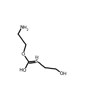 NCCOC(O)=[SH]CCO